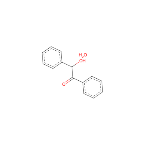 O.O=C(c1ccccc1)C(O)c1ccccc1